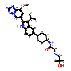 COc1cc(-c2[nH]c3ccc(C4CCC(NC(=O)CNCC(C)(C)O)CC4)cc3c2C(C)C)cn2ncnc12